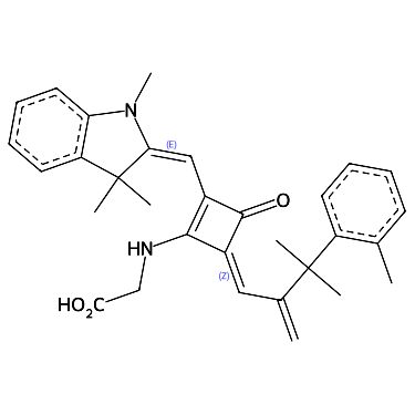 C=C(/C=C1\C(=O)C(/C=C2/N(C)c3ccccc3C2(C)C)=C1NCC(=O)O)C(C)(C)c1ccccc1C